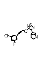 Fc1cc(Cl)cc(C#CCOc2nsnc2C2CN3CCC2C3)c1